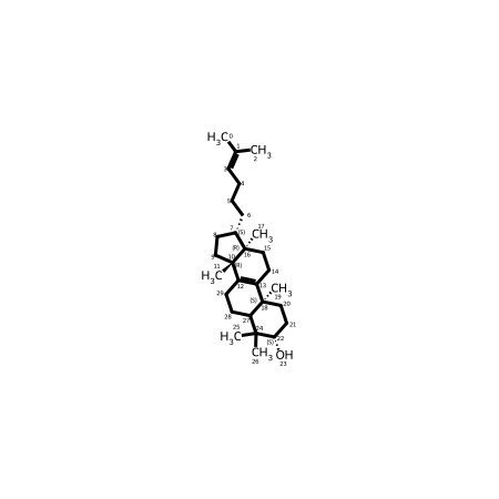 CC(C)=CCCC[C@H]1CC[C@@]2(C)C3=C(CC[C@]12C)[C@@]1(C)CC[C@H](O)C(C)(C)C1CC3